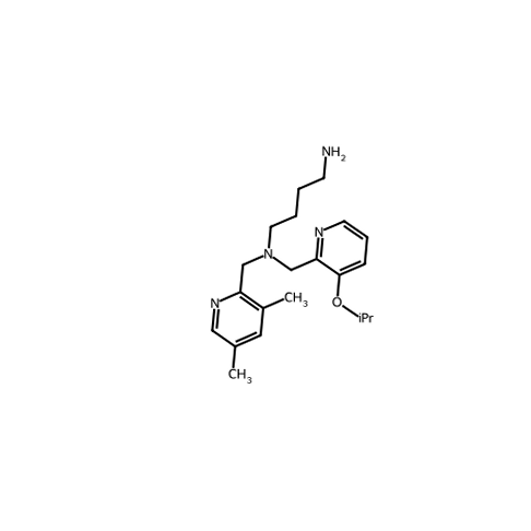 Cc1cnc(CN(CCCCN)Cc2ncccc2OC(C)C)c(C)c1